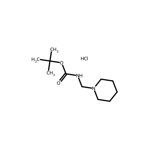 CC(C)(C)OC(=O)NCN1CCCCC1.Cl